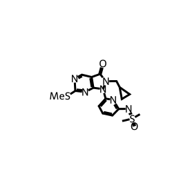 CSc1ncc2c(=O)n(CC3CC3)n(-c3cccc(N=S(C)(C)=O)n3)c2n1